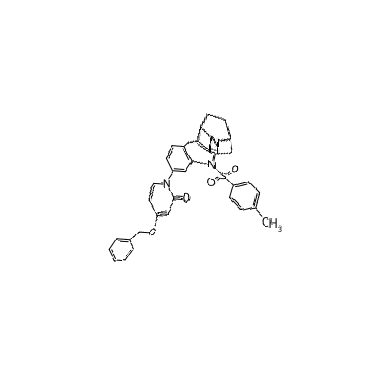 Cc1ccc(S(=O)(=O)n2c3c(c4ccc(-n5ccc(OCc6ccccc6)cc5=O)cc42)C2CCC(C3)N2)cc1